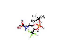 CC(C)(C)OP(=O)(OCCNC(=O)O)OCC(F)(F)F